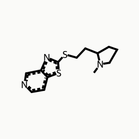 CN1CCCC1CCSc1nc2cnccc2s1